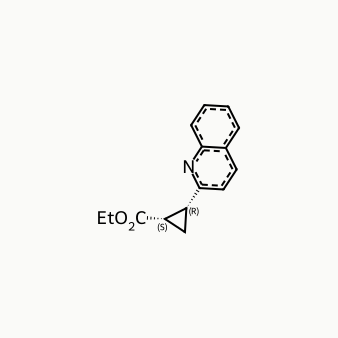 CCOC(=O)[C@H]1C[C@H]1c1ccc2ccccc2n1